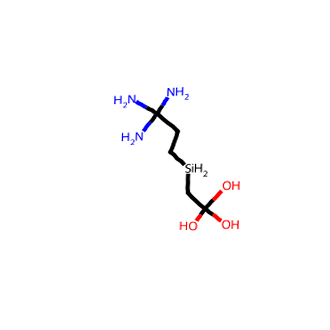 NC(N)(N)CC[SiH2]CC(O)(O)O